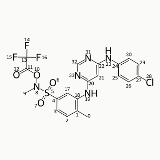 Cc1ccc(S(=O)(=O)N(C)OC(=O)C(F)(F)F)cc1Nc1cc(Nc2ccc(Cl)cc2)ncn1